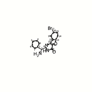 N[C@@H](c1ccccc1)c1nc2c(oc3ccc(Br)cc32)c(=O)[nH]1